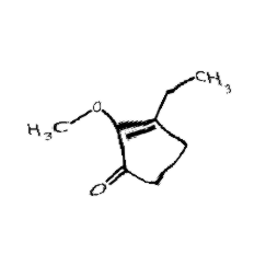 CCC1=C(OC)C(=O)CC1